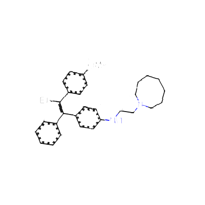 CCC(=C(c1ccccc1)c1ccc(NCCN2CCCCCCC2)cc1)c1ccc(OC)cc1